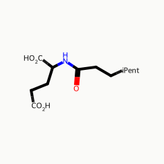 CCCC(C)CCC(=O)NC(CCC(=O)O)C(=O)O